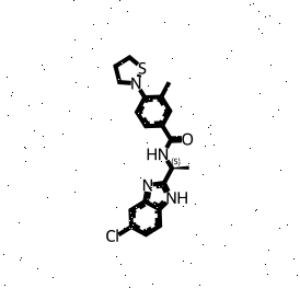 Cc1cc(C(=O)N[C@@H](C)c2nc3cc(Cl)ccc3[nH]2)ccc1N1CCCS1